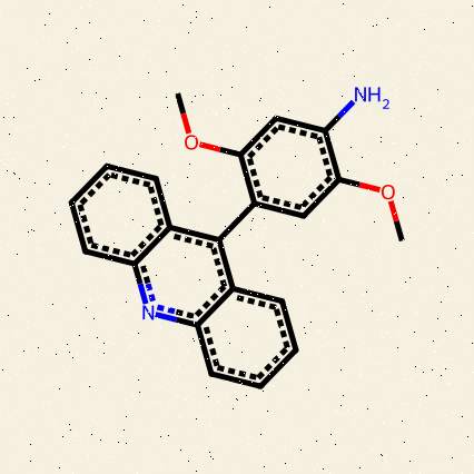 COc1cc(-c2c3ccccc3nc3ccccc23)c(OC)cc1N